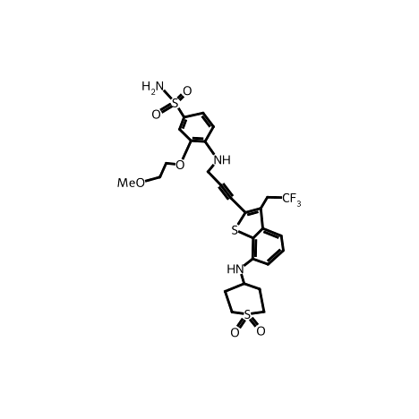 COCCOc1cc(S(N)(=O)=O)ccc1NCC#Cc1sc2c(NC3CCS(=O)(=O)CC3)cccc2c1CC(F)(F)F